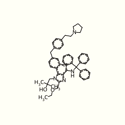 CCOCc1nc2c(NC(c3ccccc3)(c3ccccc3)c3ccccc3)nc3cc(Cc4ccc(CCN5CCCC5)cc4)ccc3c2n1CC(C)(C)O